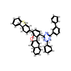 c1ccc(-c2cccc(-c3nc(-c4ccccc4)nc(-c4ccc(-c5ccc6c(c5)sc5ccccc56)c5oc6cc7ccccc7cc6c45)n3)c2)cc1